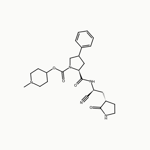 CN1CCC(OC(=O)N2CC(c3ccccc3)C[C@H]2C(=O)N[C@H](C#N)C[C@@H]2CCNC2=O)CC1